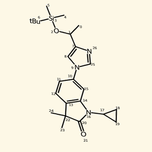 CC(O[Si](C)(C)C(C)(C)C)c1cn(-c2ccc3c(c2)N(C2CC2)C(=O)C3(C)C)cn1